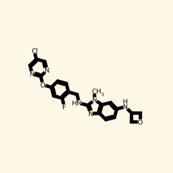 Cn1c(NCc2ccc(Oc3ncc(Cl)cn3)cc2F)nc2ccc(NC3COC3)cc21